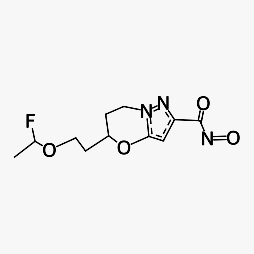 CC(F)OCCC1CCn2nc(C(=O)N=O)cc2O1